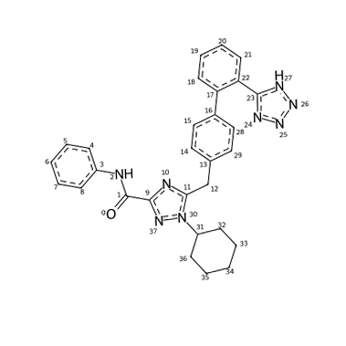 O=C(Nc1ccccc1)c1nc(Cc2ccc(-c3ccccc3-c3nnn[nH]3)cc2)n(C2CCCCC2)n1